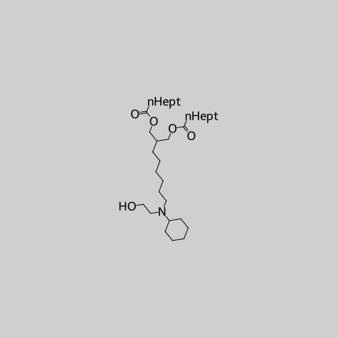 CCCCCCCC(=O)OCC(CCCCCCN(CCO)C1CCCCC1)COC(=O)CCCCCCC